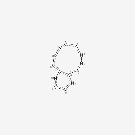 c1ccnnnc2nnnnc2cc1